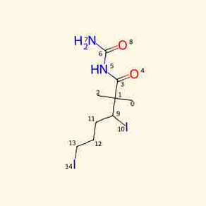 CC(C)(C(=O)NC(N)=O)C(I)CCCI